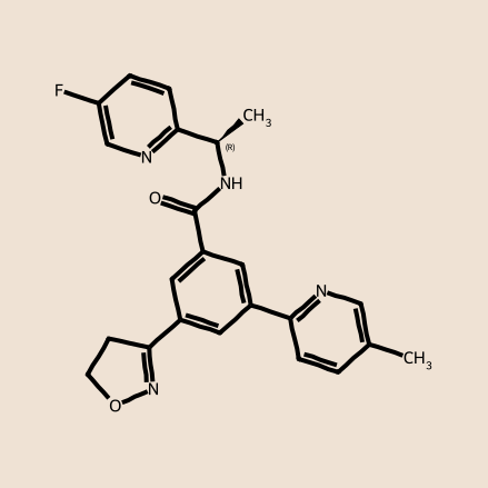 Cc1ccc(-c2cc(C(=O)N[C@H](C)c3ccc(F)cn3)cc(C3=NOCC3)c2)nc1